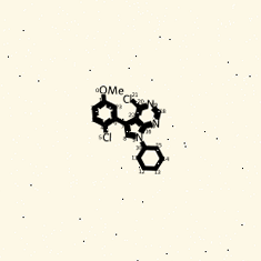 COc1ccc(Cl)c(-c2cn(C3CCCCC3)c3ncnc(Cl)c23)c1